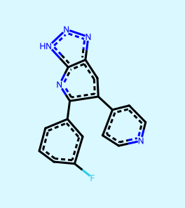 Fc1cccc(-c2nc3[nH]nnc3cc2-c2ccncc2)c1